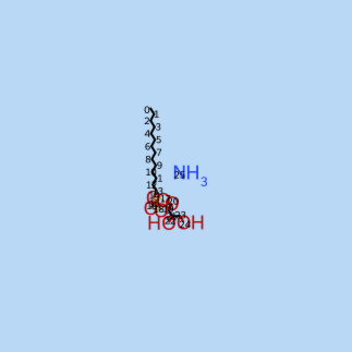 CCCCCCCCCCCCCCOS(=O)(=O)OC(=O)C(O)CO.N